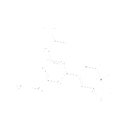 CONc1nc(NC(C)C(F)(F)F)nc(C2=C(F)C(O)C(F)(F)CC2)n1